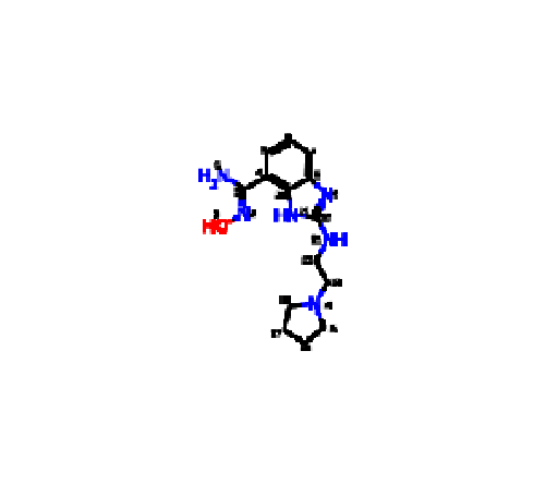 NC(=NO)c1cccc2nc(NCCN3CCCC3)[nH]c12